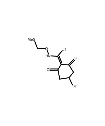 CCC(NOCSC)=C1C(=O)CC(C(C)C)CC1=O